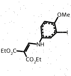 CCOC(=O)C(=CNc1ccc(OC)c(I)c1)C(=O)OCC